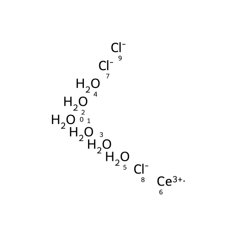 O.O.O.O.O.O.[Ce+3].[Cl-].[Cl-].[Cl-]